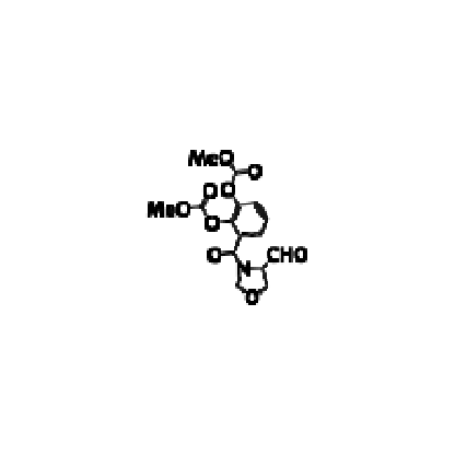 COC(=O)Oc1cccc(C(=O)N2COCC2C=O)c1OC(=O)OC